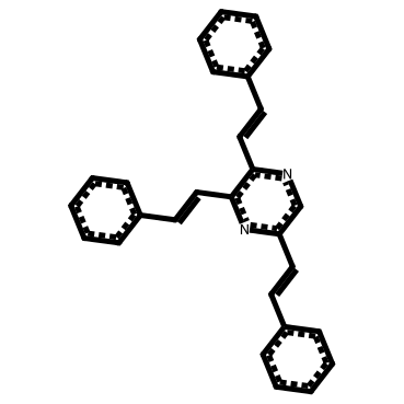 C(=Cc1cnc(C=Cc2ccccc2)c(C=Cc2ccccc2)n1)c1ccccc1